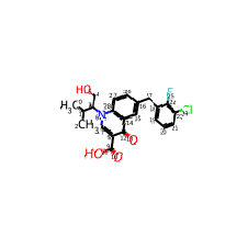 CC(C)[C@@H](CO)n1cc(C(=O)O)c(=O)c2cc(Cc3cccc(Cl)c3F)ccc21